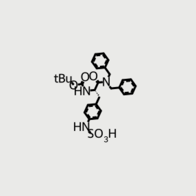 CC(C)(C)OC(=O)N[C@@H](Cc1ccc(NS(=O)(=O)O)cc1)C(=O)N(Cc1ccccc1)Cc1ccccc1